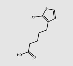 O=C(O)CCCCc1ccsc1Cl